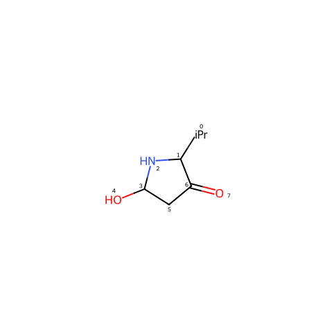 CC(C)C1NC(O)CC1=O